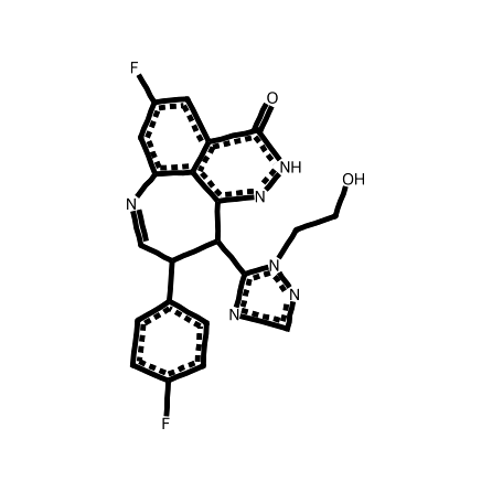 O=c1[nH]nc2c3c(cc(F)cc13)N=CC(c1ccc(F)cc1)C2c1ncnn1CCO